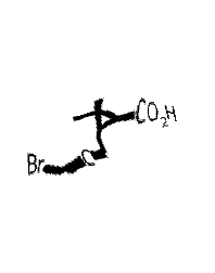 CC1(C)C(C=C=CBr)C1C(=O)O